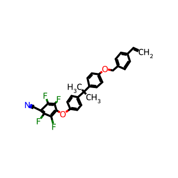 C=Cc1ccc(COc2ccc(C(C)(C)c3ccc(Oc4c(F)c(F)c(C#N)c(F)c4F)cc3)cc2)cc1